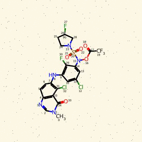 Cn1cnc2ccc(Nc3cc(Cl)cc(N(OC(=O)C(F)(F)F)S(=O)(=O)N4CC[C@@H](F)C4)c3F)c(Cl)c2c1=O